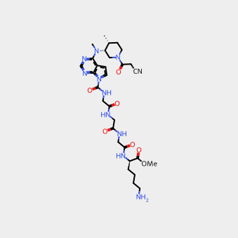 COC(=O)[C@@H](CCCCN)NC(=O)CNC(=O)CNC(=O)CNC(=O)n1ccc2c(N(C)[C@H]3CN(C(=O)CC#N)CC[C@H]3C)ncnc21